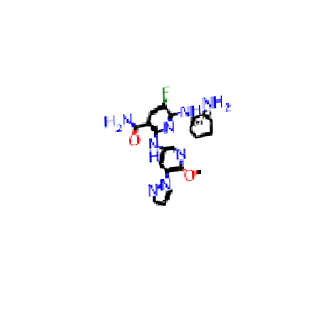 COc1ncc(Nc2nc(N[C@@H]3CCCC[C@@H]3N)c(F)cc2C(N)=O)cc1-n1cccn1